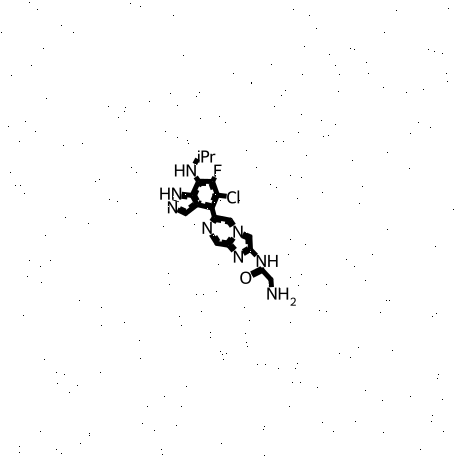 CC(C)Nc1c(F)c(Cl)c(-c2cn3cc(NC(=O)CN)nc3cn2)c2cn[nH]c12